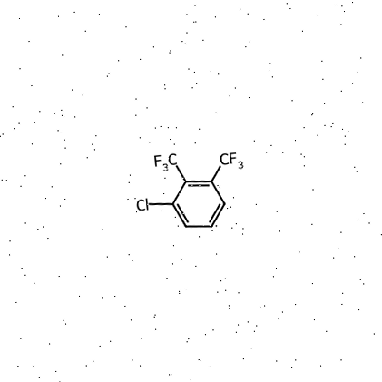 FC(F)(F)c1c[c]cc(Cl)c1C(F)(F)F